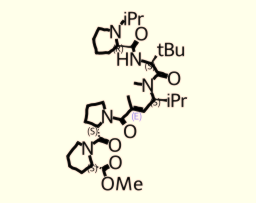 COC(=O)[C@@H]1CCCCN1C(=O)[C@@H]1CCCN1C(=O)/C(C)=C/[C@H](C(C)C)N(C)C(=O)[C@@H](NC(=O)[C@H]1CCCCN1C(C)C)C(C)(C)C